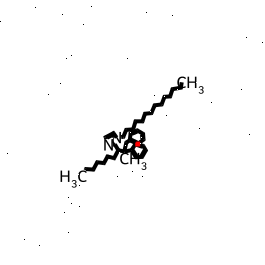 CCCCCCCCCCCCCCn1ccnc1C(CCCCCCC)C(C)(Cc1ccccc1)c1ccccc1